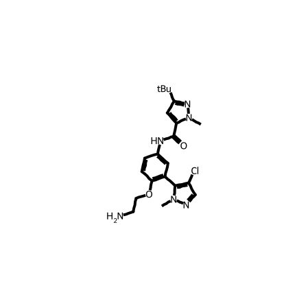 Cn1nc(C(C)(C)C)cc1C(=O)Nc1ccc(OCCN)c(-c2c(Cl)cnn2C)c1